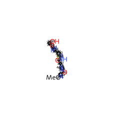 COc1ccc(C(=O)N2CCN([C@H]3C[C@@H](C(=O)Nc4nc5ccc(-c6cnc(CO[C@H]7CCC[C@@H]7O)nc6)cc5s4)C3)[C@@H](C)C2)cn1